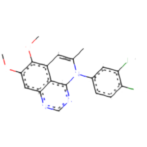 COc1cc2ncnc3c2c(c1OC)C=C(C)N3c1ccc(Cl)c(F)c1